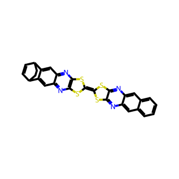 C1=CC2CCC1c1cc3nc4c(nc3cc12)SC(=C1Sc2nc3cc5ccccc5cc3nc2S1)S4